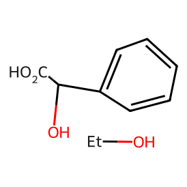 CCO.O=C(O)C(O)c1ccccc1